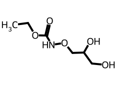 CCOC(=O)NOCC(O)CO